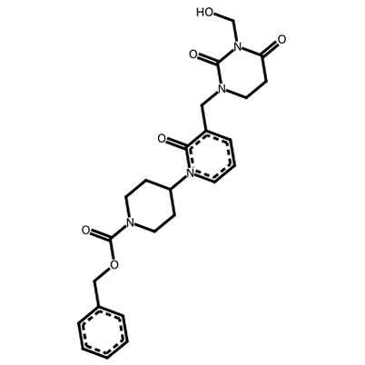 O=C(OCc1ccccc1)N1CCC(n2cccc(CN3CCC(=O)N(CO)C3=O)c2=O)CC1